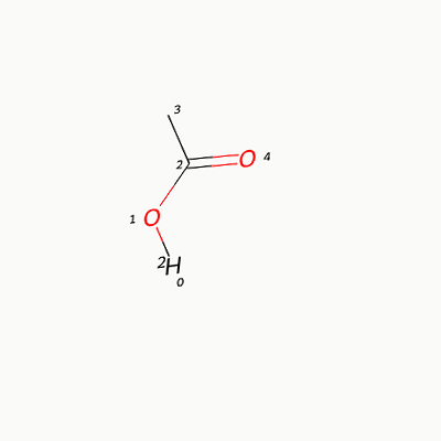 [2H]OC(C)=O